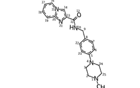 CN1CCN(c2ccc(CNC(=O)c3cn4ccccc4n3)cc2)CC1